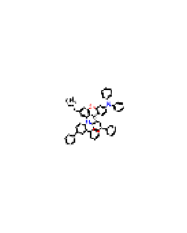 CCCCc1cc2c3c(c1)N(c1ccc(-c4ccccc4)cc1-c1ccccc1)c1ccc(-c4ccccc4)cc1B3c1ccc(N(c3ccccc3)c3ccccc3)cc1O2